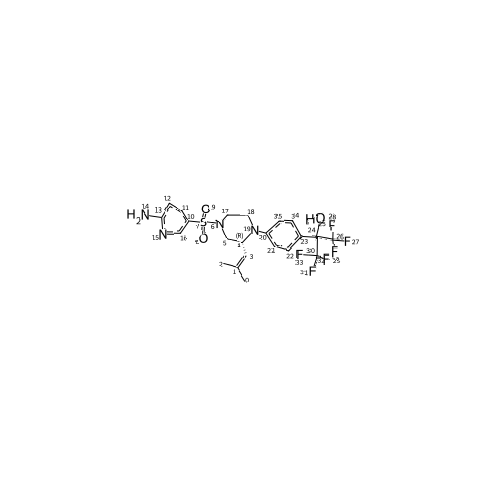 CC(C)=C[C@@H]1CN(S(=O)(=O)c2ccc(N)nc2)CCN1c1ccc(C(O)(C(F)(F)F)C(F)(F)F)cc1